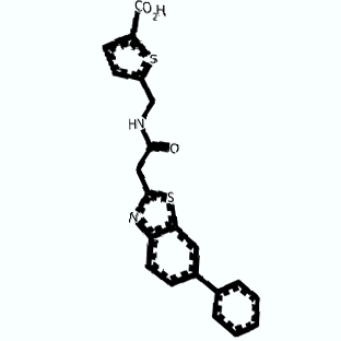 O=C(Cc1nc2ccc(-c3ccccc3)cc2s1)NCc1ccc(C(=O)O)s1